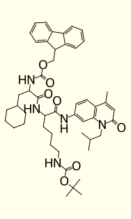 Cc1cc(=O)n(CC(C)C)c2cc(NC(=O)C(CCCCNC(=O)OC(C)(C)C)NC(=O)C(CC3CCCCC3)NC(=O)OCC3c4ccccc4-c4ccccc43)ccc12